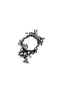 CO[C@H]1/C=C/O[C@H]2Oc3c(C)c(O)c4c(=O)c(c5oc6cccc(OCCN(C)C)c6nc-5c4c3C2=O)NC(=O)/C(C)=C\C=C\[C@H](C)[C@H](O)[C@@H](C)[C@@H](O)[C@@H](C)[C@H](OC(C)=O)[C@@H]1C